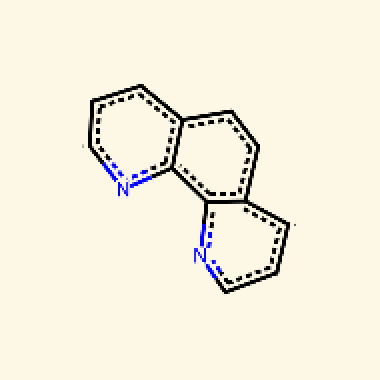 [c]1ccc2ccc3[c]ccnc3c2n1